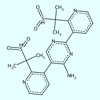 CC(C)(c1ncccc1-c1ncc(-c2cccnc2C(C)(C)[SH](=O)=O)c(N)n1)[SH](=O)=O